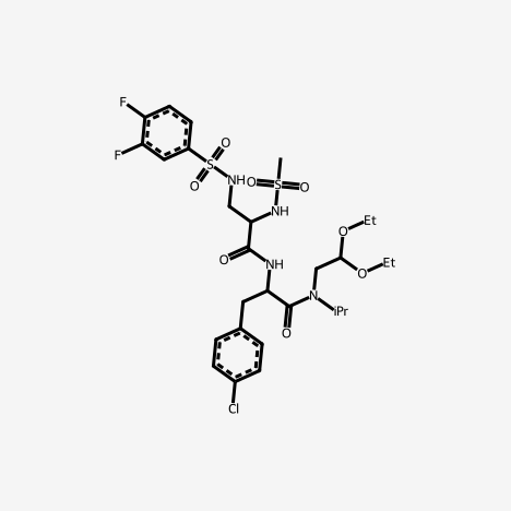 CCOC(CN(C(=O)C(Cc1ccc(Cl)cc1)NC(=O)C(CNS(=O)(=O)c1ccc(F)c(F)c1)NS(C)(=O)=O)C(C)C)OCC